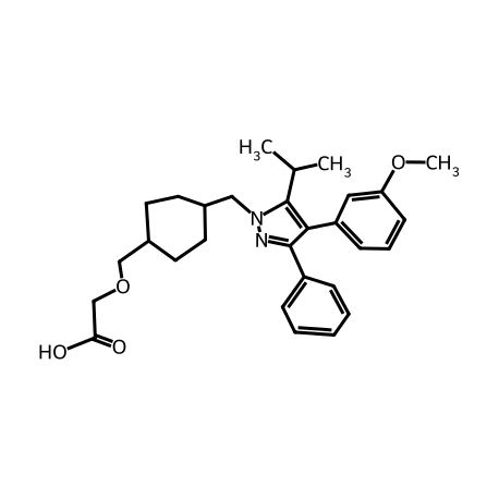 COc1cccc(-c2c(-c3ccccc3)nn(CC3CCC(COCC(=O)O)CC3)c2C(C)C)c1